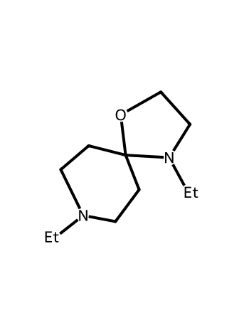 CCN1CCC2(CC1)OCCN2CC